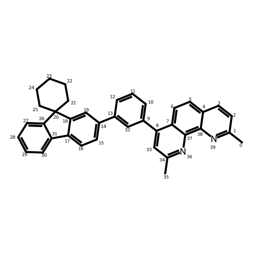 Cc1ccc2ccc3c(-c4cccc(-c5ccc6c(c5)C5(CCCCC5)c5ccccc5-6)c4)cc(C)nc3c2n1